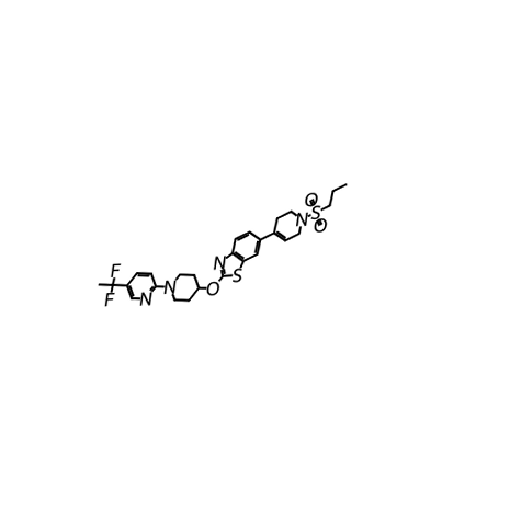 CCCS(=O)(=O)N1CC=C(c2ccc3nc(OC4CCN(c5ccc(C(C)(F)F)cn5)CC4)sc3c2)CC1